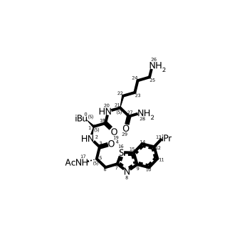 CC[C@H](C)[C@H](NC(=O)[C@H](Cc1nc2ccc(C(C)C)cc2s1)NC(C)=O)C(=O)N[C@@H](CCCCN)C(N)=O